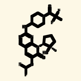 CC(F)(F)C(=O)N1CCC(Nc2ncc3cc(OC(F)F)c(=O)n([C@@H]4CCC[C@@]4(C)O)c3n2)CC1